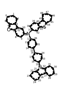 c1ccc2c(c1)oc1ccc(N(c3ccc(-c4ccc(-n5c6ccccc6c6ccccc65)cc4)cc3)c3ccc4c(c3)sc3ccccc34)cc12